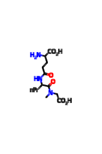 CCCC(NC(=O)CCC(N)C(=O)O)C(=O)N(C)CC(=O)O